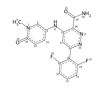 Cn1cc(Nc2cc(-c3c(F)cccc3F)nnc2C(N)=O)ccc1=O